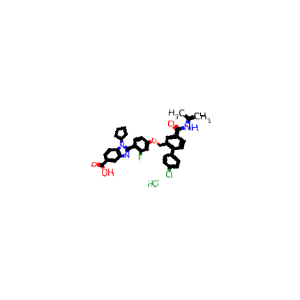 CC(C)NC(=O)c1ccc(-c2ccc(Cl)cc2)c(COc2ccc(-c3nc4cc(C(=O)O)ccc4n3C3CCCC3)c(F)c2)c1.Cl